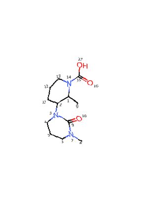 CC1C(N2CCCN(C)C2=O)CCCN1C(=O)O